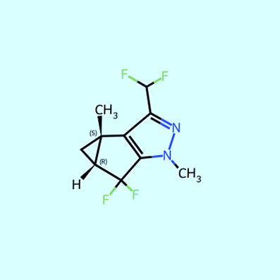 Cn1nc(C(F)F)c2c1C(F)(F)[C@@H]1C[C@]21C